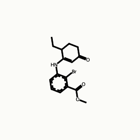 CCC1CCC(=O)C=C1Nc1cccc(C(=O)OC)c1Br